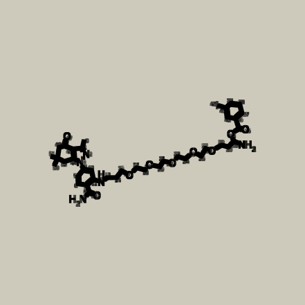 Cc1nn(-c2ccc(C(N)=O)c(NCCCOCCOCCOCCOCCOCCC(N)OC(=O)c3cccc(I)c3)c2)c2c1C(=O)CC(C)(C)C2